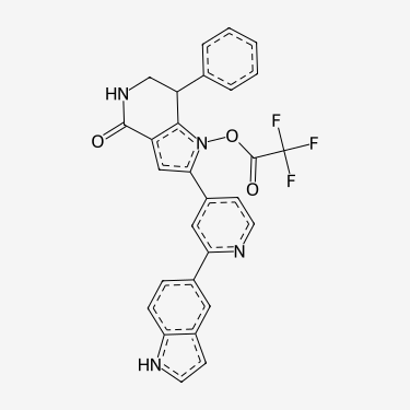 O=C1NCC(c2ccccc2)c2c1cc(-c1ccnc(-c3ccc4[nH]ccc4c3)c1)n2OC(=O)C(F)(F)F